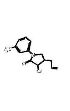 C=CCC1CN(c2cccc(C(F)(F)F)c2)C(=O)C1Cl